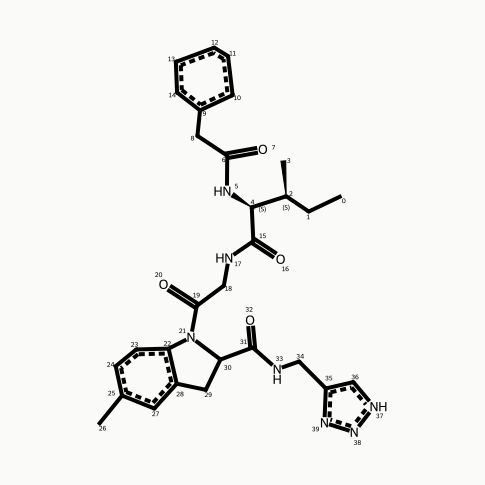 CC[C@H](C)[C@H](NC(=O)Cc1ccccc1)C(=O)NCC(=O)N1c2ccc(C)cc2CC1C(=O)NCc1c[nH]nn1